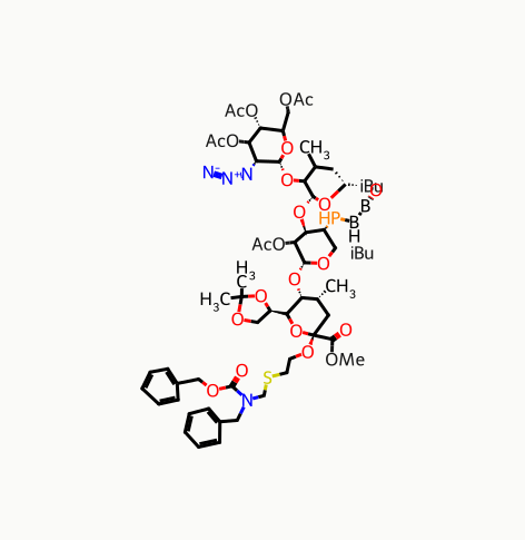 CC[C@H](C)C1O[C@H](O[C@H]2C([C@H]3COC(C)(C)O3)O[C@@](OCCSCN(Cc3ccccc3)C(=O)OCc3ccccc3)(C(=O)OC)C[C@H]2C)C(OC(C)=O)[C@@H](O[C@H]2O[C@@H]([C@@H](C)CC)CC(C)C2O[C@H]2OC(COC(C)=O)[C@@H](OC(C)=O)C(OC(C)=O)[C@H]2N=[N+]=[N-])[C@@H]1PBB=O